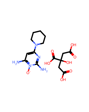 Nc1cc(N2CCCCC2)nc(N)[n+]1[O-].O=C(O)CC(O)(CC(=O)O)C(=O)O